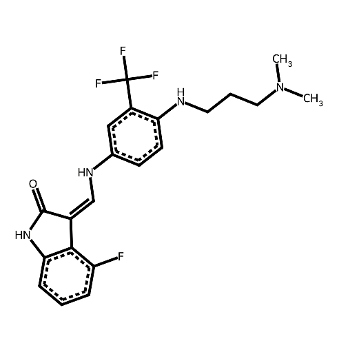 CN(C)CCCNc1ccc(NC=C2C(=O)Nc3cccc(F)c32)cc1C(F)(F)F